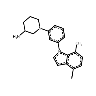 Cc1ccc(F)c2ccn(-c3cccc(N4CCCC(N)C4)c3)c12